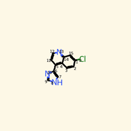 Clc1ccc2c(-c3c[nH]cn3)ccnc2c1